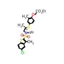 CCCN(C[C@@H](C)Sc1ccc(OCC(=O)OCC)c(C)c1)S(=O)(=O)c1sc2ccc(Cl)cc2c1C